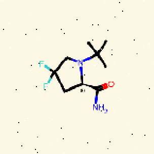 CC(C)(C)N1CC(F)(F)C[C@@H]1C(N)=O